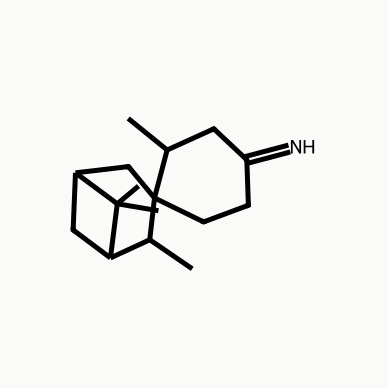 CC1CC(=N)CCC12CC1CC(C2C)C1(C)C